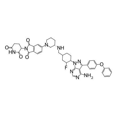 Nc1ncnc2c1c(-c1ccc(Oc3ccccc3)cc1)nn2C1CCC(CN[C@H]2CCCN(c3ccc4c(c3)C(=O)N(C3CCC(=O)NC3=O)C4=O)C2)CC1F